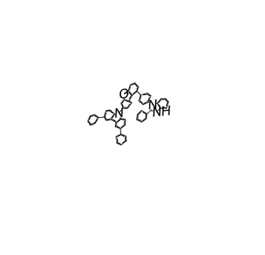 c1ccc(-c2ccc3c(c2)c2cc(-c4ccccc4)ccc2n3-c2ccc3c(c2)oc2cccc(-c4ccc(N5c6ccccc6NC5c5ccccc5)cc4)c23)cc1